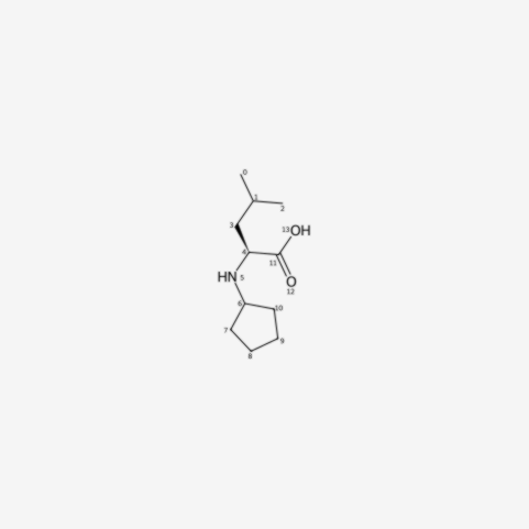 CC(C)C[C@H](NC1CCCC1)C(=O)O